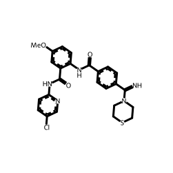 COc1ccc(NC(=O)c2ccc(C(=N)N3CCSCC3)cc2)c(C(=O)Nc2ccc(Cl)cn2)c1